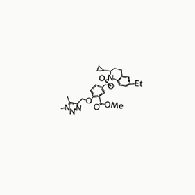 CCc1ccc2c(c1)CCC(C1CC1)N2S(=O)(=O)c1ccc(OCc2nnn(C)c2C)c(C(=O)OC)c1